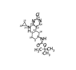 CC(C)(C)OC(=O)N[C@H]1CCC[C@@H](c2cnc(Cl)nc2NC2CC2)C1